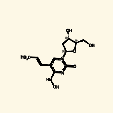 O=C(O)C=Cc1cn([C@H]2C[C@H](O)[C@@H](CO)O2)c(=O)nc1NO